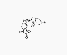 C=C(Nc1ccc2[nH]c(=O)[nH]c2c1)Nc1ccc(Br)cc1C